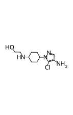 Nc1cnn(C2CCC(NCCO)CC2)c1Cl